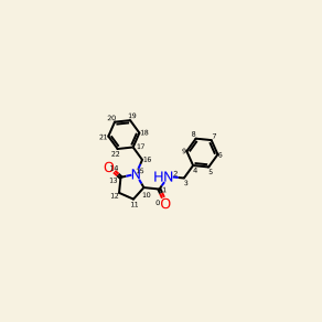 O=C(NCc1ccccc1)C1CCC(=O)N1Cc1ccccc1